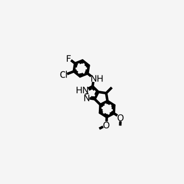 COc1cc2c(cc1OC)C(C)c1c-2n[nH]c1Nc1ccc(F)c(Cl)c1